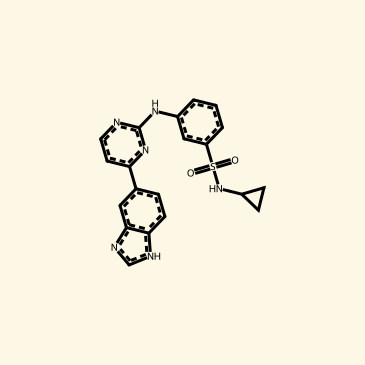 O=S(=O)(NC1CC1)c1cccc(Nc2nccc(-c3ccc4[nH]cnc4c3)n2)c1